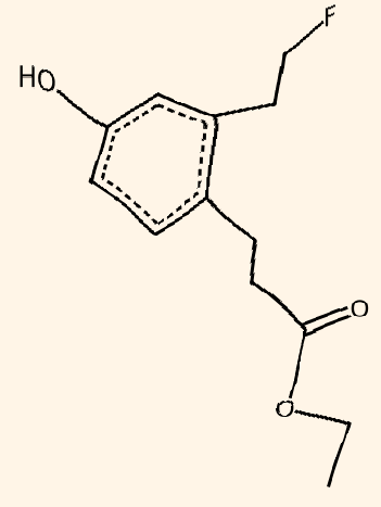 CCOC(=O)CCc1ccc(O)cc1CCF